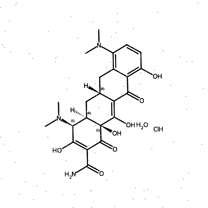 CN(C)c1ccc(O)c2c1C[C@H]1C[C@@H]3[C@H](N(C)C)C(O)=C(C(N)=O)C(=O)[C@@]3(O)C(O)=C1C2=O.Cl.O